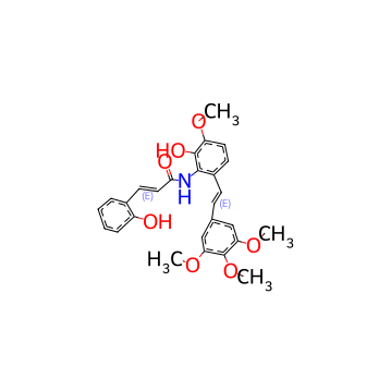 COc1ccc(/C=C/c2cc(OC)c(OC)c(OC)c2)c(NC(=O)/C=C/c2ccccc2O)c1O